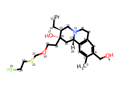 Cc1cc2c(cc1CO)CCN1C[C@H](CC(C)C)[C@](O)(CCOCSCC[18F])C[C@@H]21